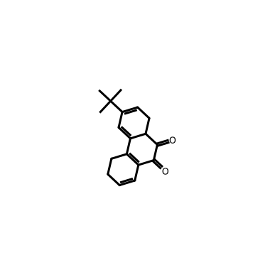 CC(C)(C)C1=CCC2C(=O)C(=O)C3=C(CCC=C3)C2=C1